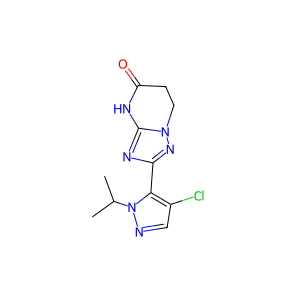 CC(C)n1ncc(Cl)c1-c1nc2n(n1)CCC(=O)N2